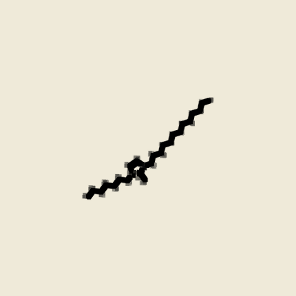 CCCCCCCCCCCCCn1cc[n+](CCCCCCC)c1C